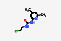 Cc1cc(C)nc(NC(=O)NCCCl)c1